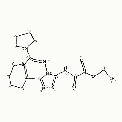 CCOC(=O)C(=O)Nc1nnc2c3c(c(N4CCCC4)nn12)CCCC3